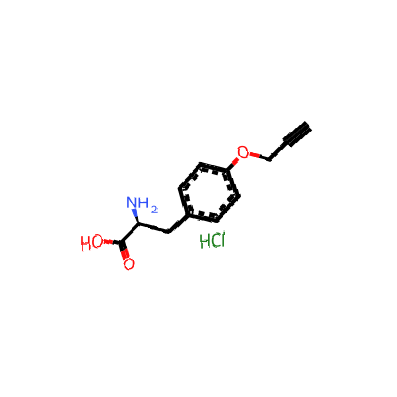 C#CCOc1ccc(C[C@H](N)C(=O)O)cc1.Cl